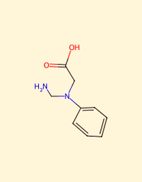 NCN(CC(=O)O)c1ccccc1